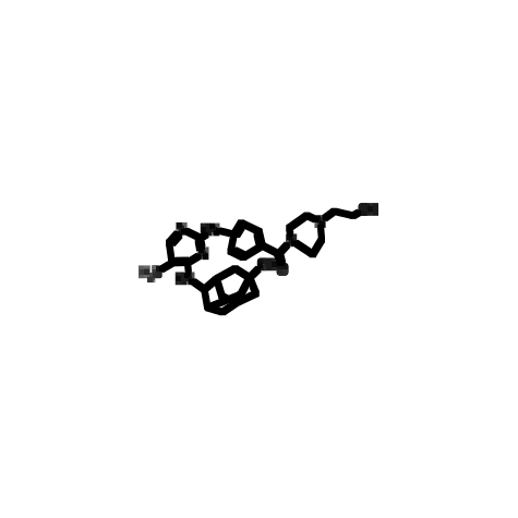 Bc1cnc(Nc2ccc(C(=O)N3CCN(CCO)CC3)cc2)nc1NC1C2CC3CC1CC(O)(C3)C2